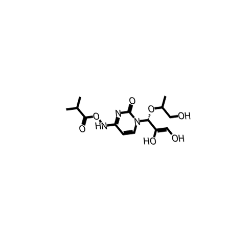 CC(CO)O[C@H](/C(O)=C/O)n1ccc(NOC(=O)C(C)C)nc1=O